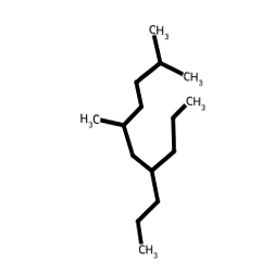 CCCC(CCC)CC(C)CCC(C)C